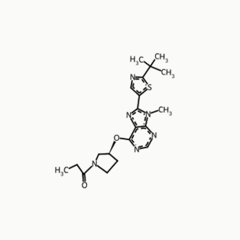 CCC(=O)N1CC[C@H](Oc2ncnc3c2nc(-c2cnc(C(C)(C)C)s2)n3C)C1